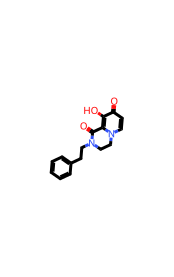 O=C1c2c(O)c(=O)ccn2CCN1CCc1ccccc1